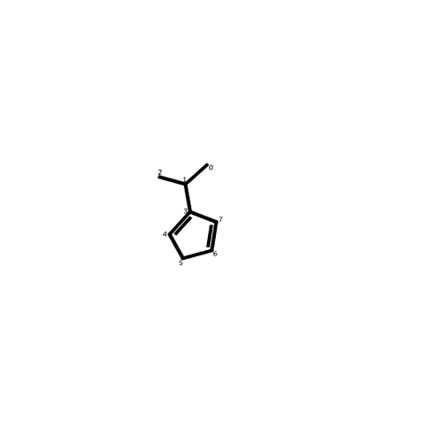 CC(C)C1=[C]CC=C1